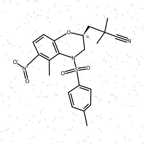 Cc1ccc(S(=O)(=O)N2C[C@H](CC(C)(C)C#N)Oc3ccc([N+](=O)[O-])c(C)c32)cc1